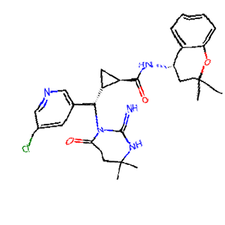 CC1(C)CC(=O)N([C@H](c2cncc(Cl)c2)C2C[C@H]2C(=O)N[C@H]2CC(C)(C)Oc3ccccc32)C(=N)N1